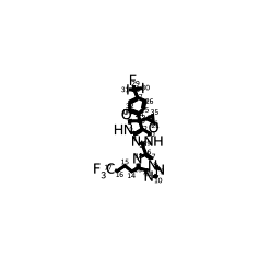 O=C1Nc2nc(-c3cn4ncnc4c(CCCC(F)(F)F)n3)[nH]c(=O)c2C1(c1ccc(C(F)(I)I)cc1)C1CC1